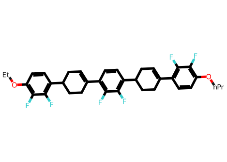 CCCOc1ccc(C2=CCC(c3ccc(C4=CCC(c5ccc(OCC)c(F)c5F)CC4)c(F)c3F)CC2)c(F)c1F